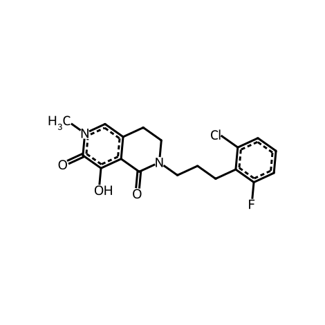 Cn1cc2c(c(O)c1=O)C(=O)N(CCCc1c(F)cccc1Cl)CC2